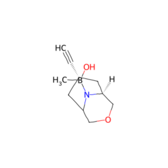 C#C[C@H]1CC2COC[C@H](C1)N2B(C)O